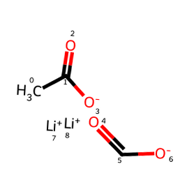 CC(=O)[O-].O=C[O-].[Li+].[Li+]